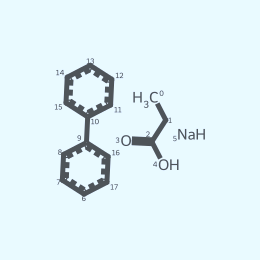 CCC(=O)O.[NaH].c1ccc(-c2ccccc2)cc1